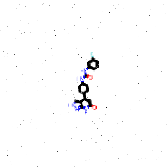 O=C(Nc1ccc(-c2cc(=O)[nH]c3n[nH]cc23)cc1)Nc1cccc(F)c1